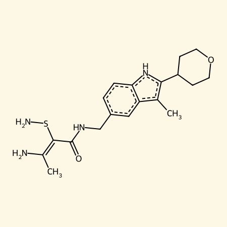 C/C(N)=C(/SN)C(=O)NCc1ccc2[nH]c(C3CCOCC3)c(C)c2c1